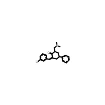 CN(C)CC1CC(c2ccccc2)C/C(=C/c2cccc(Cl)c2)C1=O